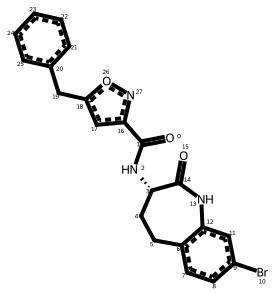 O=C(N[C@H]1CCc2ccc(Br)cc2NC1=O)c1cc(Cc2ccccc2)on1